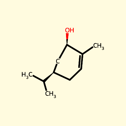 CC1=CC[C@@H](C(C)C)C[C@H]1O